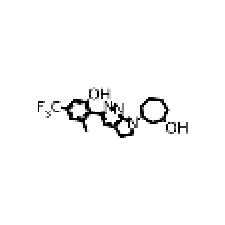 Cc1cc(C(F)(F)F)cc(O)c1-c1cc2c(nn1)N([C@@H]1CCCC[C@@H](O)C1)CC2